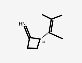 CC(C)=C(C)[C@@H]1CCC1=N